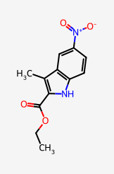 CCOC(=O)c1[nH]c2ccc([N+](=O)[O-])cc2c1C